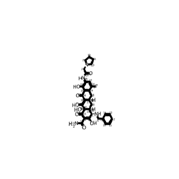 NC(=O)C1=C(O)[C@@H](NCc2ccccc2)[C@@H]2C[C@@H]3Cc4c(F)cc(NC(=O)CN5CCCC5)c(O)c4C(=O)C3=C(O)[C@]2(O)C1=O